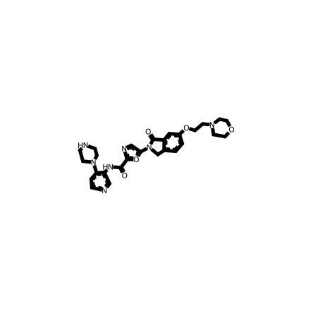 O=C(Nc1cnccc1N1CCNCC1)c1ncc(N2Cc3ccc(OCCN4CCOCC4)cc3C2=O)o1